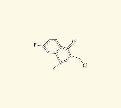 Cn1cc(CCl)c(=O)c2ccc(F)cc21